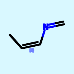 C=N/C=C\C